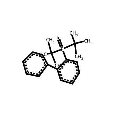 CC(C)(C)P(=S)(c1ccccc1-c1ccccc1)C(C)(C)C